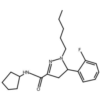 CCCCCN1N=C(C(=O)NC2CCCC2)CC1c1ccccc1F